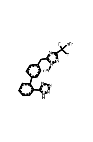 CCCn1nc(C(F)(F)CCC)nc1Cc1ccc(-c2ccccc2-c2nnn[nH]2)cc1